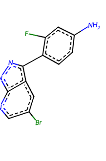 Nc1ccc(-c2n[nH]c3ncc(Br)cc23)c(F)c1